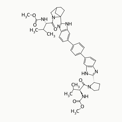 COC(=O)N[C@H](C(=O)N1CCC[C@H]1c1nc2ccc(-c3ccc(-c4ccc5nc(C67CCC(CN6C(=O)[C@@H](NC(=O)OC)C(C)C)C7)[nH]c5c4)cc3)cc2[nH]1)C(C)C